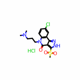 CN(C)CCCn1c(=O)c2c(S(C)(=O)=O)[nH]nc2c2cc(Cl)ccc21.Cl